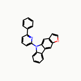 c1ccc(-c2cccc(-n3c4ccccc4c4cc5occc5cc43)n2)cc1